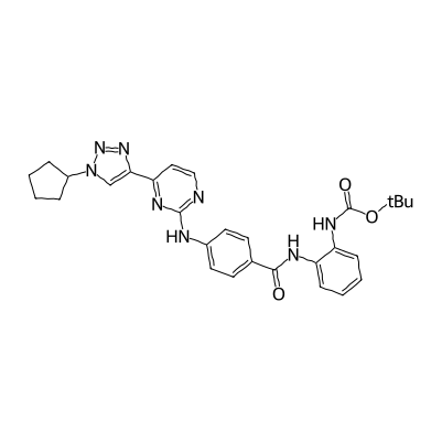 CC(C)(C)OC(=O)Nc1ccccc1NC(=O)c1ccc(Nc2nccc(-c3cn(C4CCCC4)nn3)n2)cc1